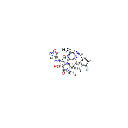 Cc1cnc([C@H](c2cc(F)ccc2C#N)[C@@H](C)c2nc(C(=O)Nc3cnoc3)c(O)c(=O)n2C)cn1